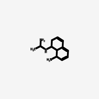 CC(N)NC1CC=CC2=CC=CC(N)C21